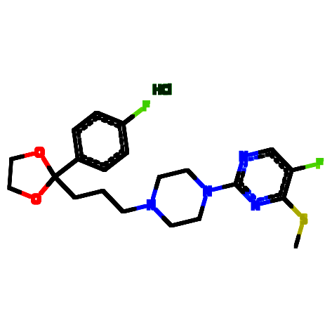 CSc1nc(N2CCN(CCCC3(c4ccc(F)cc4)OCCO3)CC2)ncc1F.Cl